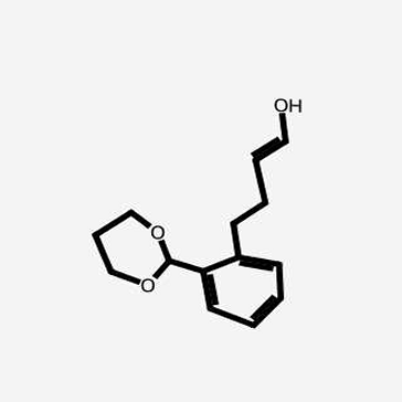 OC=CCCc1ccccc1C1OCCCO1